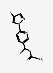 CCC(OC(N)=O)c1ccc(-n2cc(F)cn2)nc1